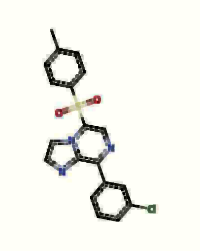 Cc1ccc(S(=O)(=O)c2cnc(-c3cccc(Cl)c3)c3nccn23)cc1